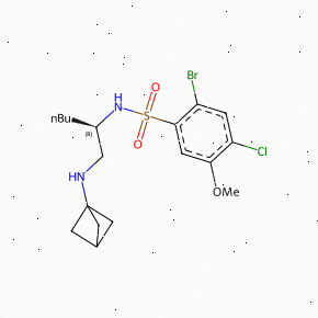 CCCC[C@H](CNC12CC(C1)C2)NS(=O)(=O)c1cc(OC)c(Cl)cc1Br